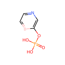 O=P(O)(O)Oc1bccnc1